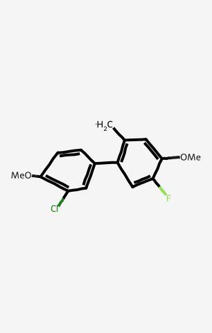 [CH2]c1cc(OC)c(F)cc1-c1ccc(OC)c(Cl)c1